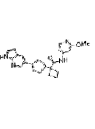 COc1cc(NC(=O)C2(c3ccc(-c4cnc5[nH]ccc5c4)cc3)CCC2)ccn1